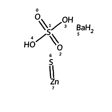 O=S(=O)(O)O.[BaH2].[S]=[Zn]